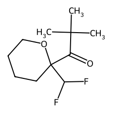 CC(C)(C)C(=O)C1(C(F)F)CCCCO1